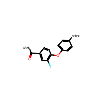 CCCCCCc1ccc(Oc2ccc(C(=O)NC)cc2F)cc1